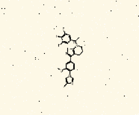 COc1cc(-c2noc3c2CCCN3[C@H](C)c2cc(F)c(F)c(F)c2)ccc1-n1cnc(C)c1